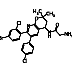 CC1(C)CC(NC(=O)CN)c2cc(-c3ccc(Cl)cc3)c(-c3ccc(Br)cc3Cl)nc2O1